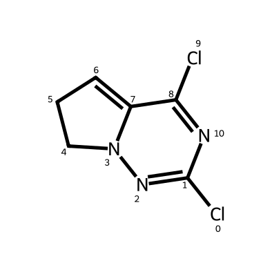 ClC1=NN2CCC=C2C(Cl)=N1